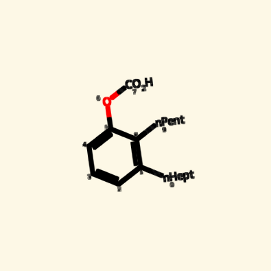 CCCCCCCc1cccc(OC(=O)O)c1CCCCC